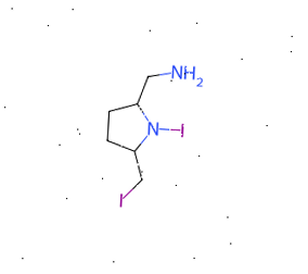 NCC1CCC(CI)N1I